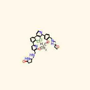 COc1cc(-c2nccc(-c3cccc(-c4ccc(CNC[C@@H]5CCC(=O)N5)c(OC)n4)c3Cl)c2Cl)ccc1CNC[C@H]1CCO1